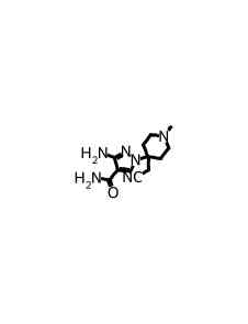 CN1CCC(CC#N)(n2cc(C(N)=O)c(N)n2)CC1